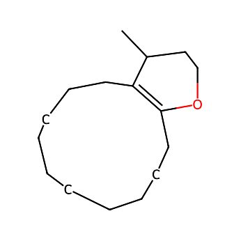 CC1CCOC2=C1CCCCCCCCCC2